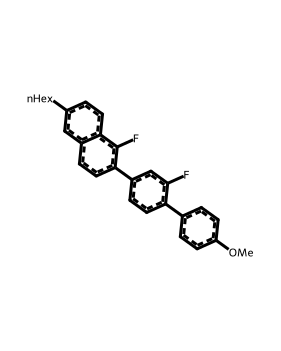 CCCCCCc1ccc2c(F)c(-c3ccc(-c4ccc(OC)cc4)c(F)c3)ccc2c1